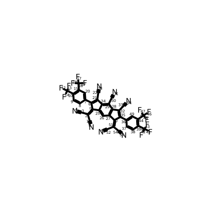 N#CC(C#N)=C1C(c2ccc(C(F)(F)F)c(C(F)(F)F)c2)=C(C#N)c2c1cc1c(c2C#N)C(C#N)=C(c2ccc(C(F)(F)F)c(C(F)(F)F)c2)C1=C(C#N)C#N